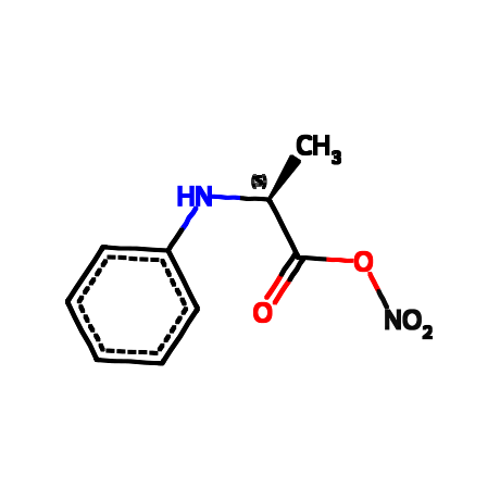 C[C@H](Nc1ccccc1)C(=O)O[N+](=O)[O-]